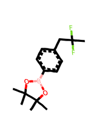 CC(F)(F)Cc1ccc(B2OC(C)(C)C(C)(C)O2)cc1